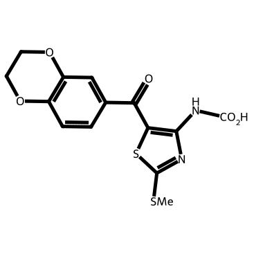 CSc1nc(NC(=O)O)c(C(=O)c2ccc3c(c2)OCCO3)s1